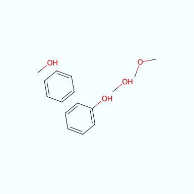 CO.CO.COC.Oc1ccccc1.c1ccccc1